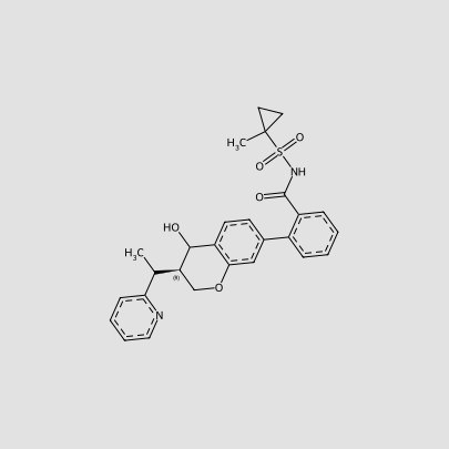 CC(c1ccccn1)[C@@H]1COc2cc(-c3ccccc3C(=O)NS(=O)(=O)C3(C)CC3)ccc2C1O